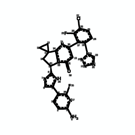 Nc1ccc(-c2cnc([C@H]3CC4(CC4)c4nc(-c5c(-n6cnnn6)ccc(Cl)c5F)cc(=O)n43)[nH]2)c(F)n1